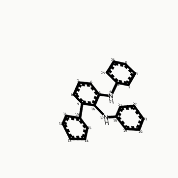 c1ccc(Nc2cccc(-c3ccccc3)c2Nc2ccccc2)cc1